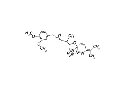 COc1ccc(CCNCC(O)COC2(NN)C=CC(=C(C)C)N=N2)cc1OC